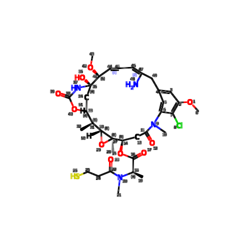 COc1cc2cc(c1Cl)N(C)C(=O)C[C@@H](OC(=O)[C@@H](C)N(C)C(=O)CCS)[C@@]1(C)O[C@@H]1[C@@H](C)[C@H]1C[C@](O)(NC(=O)O1)[C@@H](OC)/C=C/C=C(\N)C2